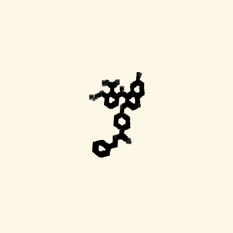 COc1cccc(Nc2c(SN3CCN(C(=O)OCc4ccccc4)CC3)cnc3ccc(Br)cc23)c1C(=O)O